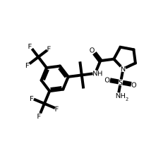 CC(C)(NC(=O)C1CCCN1S(N)(=O)=O)c1cc(C(F)(F)F)cc(C(F)(F)F)c1